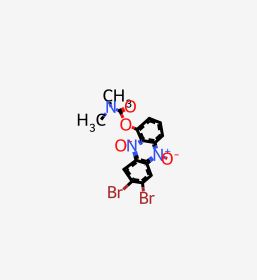 CN(C)C(=O)Oc1cccc2c1[n+]([O-])c1cc(Br)c(Br)cc1[n+]2[O-]